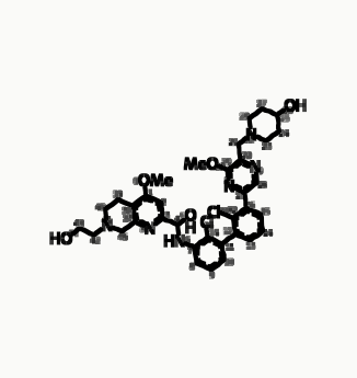 COc1cc(C(O)Nc2cccc(-c3cccc(-c4cnc(CN5CCC(O)CC5)c(OC)n4)c3Cl)c2Cl)nc2c1CCN(CCO)C2